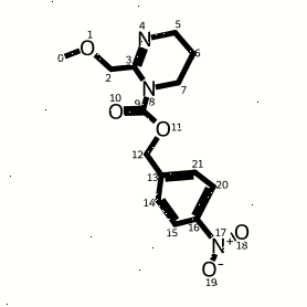 COCC1=NC[CH]CN1C(=O)OCc1ccc([N+](=O)[O-])cc1